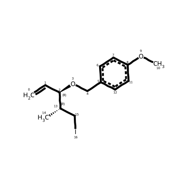 C=C[C@@H](OCc1ccc(OC)cc1)[C@@H](C)CI